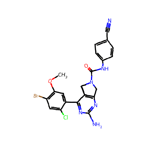 COc1cc(-c2nc(N)nc3c2CN(C(=O)Nc2ccc(C#N)cc2)C3)c(Cl)cc1Br